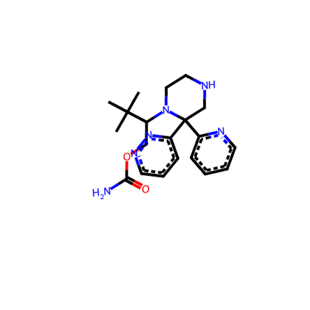 CC(C)(C)C(COC(N)=O)N1CCNCC1(c1ccccn1)c1cccnn1